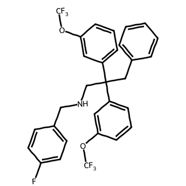 Fc1ccc(CNCC(Cc2ccccc2)(c2cccc(OC(F)(F)F)c2)c2cccc(OC(F)(F)F)c2)cc1